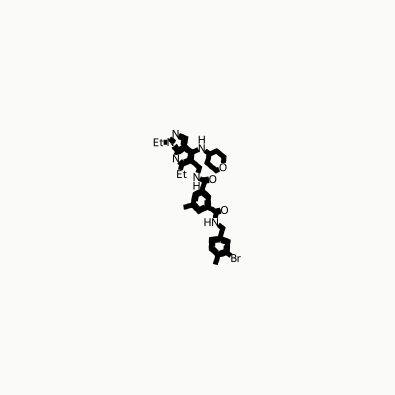 CCc1nc2c(cnn2CC)c(NC2CCOCC2)c1CNC(=O)c1cc(C)cc(C(=O)NCc2ccc(C)c(Br)c2)c1